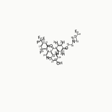 [2H]c1c([2H])c(C(O)c2c(-c3ccc(C(F)(F)F)cc3F)cnc3cc(O)ccc23)c([2H])c([2H])c1OCCN1CC(CF)C1